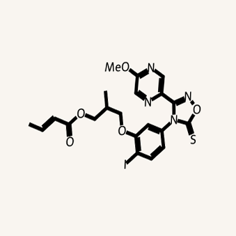 CC=CC(=O)OCC(C)COc1cc(-n2c(-c3cnc(OC)cn3)noc2=S)ccc1I